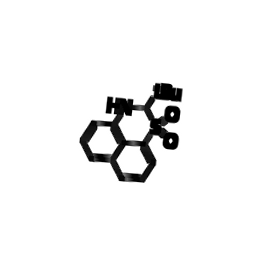 CC(C)(C)C1Nc2cccc3cccc(c23)S1(=O)=O